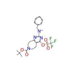 CN(Cc1ccccc1)c1nc2c(c(OS(=O)(=O)C(F)(F)F)n1)CCN(C(=O)OC(C)(C)C)CC2